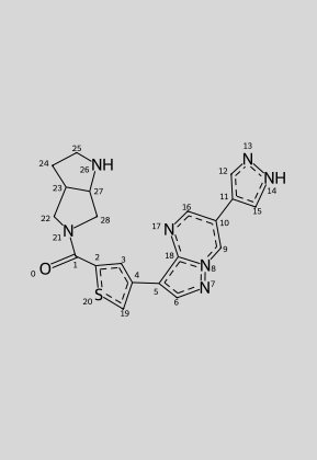 O=C(c1cc(-c2cnn3cc(-c4cn[nH]c4)cnc23)cs1)N1CC2CCNC2C1